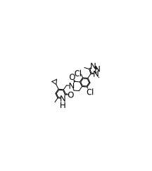 Cc1cc(C2CC2)c(CN2CCc3c(Cl)cc(-c4c(C)nnn4C)c(Cl)c3C2=O)c(=O)[nH]1